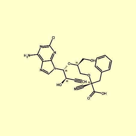 C#C[C@@H](O)[C@@H](O[C@@H](CO)CO[C@](C#N)(Cc1ccccc1)C(=O)O)n1cnc2c(N)nc(Cl)nc21